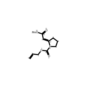 C=CCOC(=O)N1CCCC1=CC(=O)OC